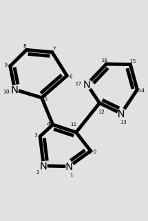 [c]1nncc(-c2ccccn2)c1-c1ncccn1